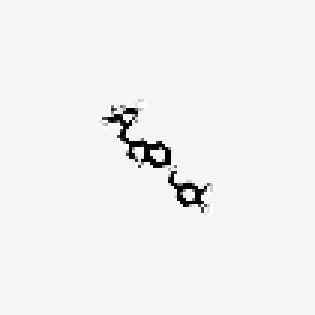 O=C1NC(=O)C(Cc2cnc3cc(OCc4ccc(Cl)c(Cl)c4)ccc3c2)S1